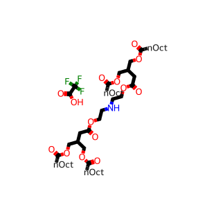 CCCCCCCCC(=O)OCC(COC(=O)CCCCCCCC)CC(=O)OCCNCCOC(=O)CC(COC(=O)CCCCCCCC)COC(=O)CCCCCCCC.O=C(O)C(F)(F)F